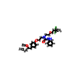 CCOC(Cc1ccc(OCCN(CCOCCC(C)(F)F)C(=O)Nc2ccccc2)cc1)C(=O)O